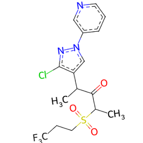 CC(C(=O)C(C)S(=O)(=O)CCC(F)(F)F)c1cn(-c2cccnc2)nc1Cl